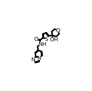 O=C(NCc1ccn2ccnc2c1)c1ccc(C2(O)CCOCC2)s1